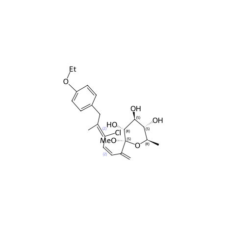 C=C(/C=C\C(Cl)=C(/C)Cc1ccc(OCC)cc1)[C@]1(OC)O[C@H](C)[C@@H](O)[C@H](O)[C@H]1O